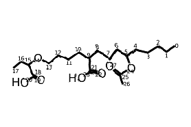 CCCCCC(CCCC(CCCCOC(CC)C(=O)O)C(=O)O)OC(C)=O